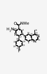 CNC(=O)c1cc(-c2ccc3ncnc(C)c3c2)c(-c2ccc(F)cc2)nc1N